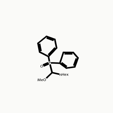 CCCCCCC(OC)P(=O)(c1ccccc1)c1ccccc1